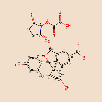 O=C(O)C(=O)ON1C(=O)CCC1=O.O=C(O)c1ccc2c(c1)C(=O)OC21c2ccc(O)cc2Oc2cc(O)ccc21